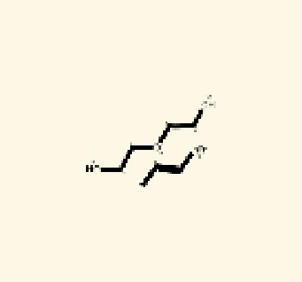 CC=CCCC.OCCOCCO